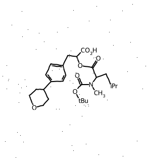 CC(C)CC(C(=O)OC(Cc1ccc(C2CCOCC2)cc1)C(=O)O)N(C)C(=O)OC(C)(C)C